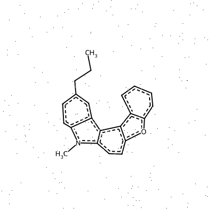 CCCc1ccc2c(c1)c1c3c(ccc1n2C)oc1ccccc13